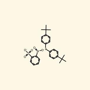 CC(C)(C)c1ccc([I+]c2ccc(C(C)(C)C)cc2)cc1.O=[N+]([O-])c1ccccc1S(=O)(=O)[O-]